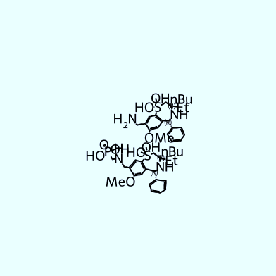 CCCC[C@]1(CC)CS(O)(O)c2cc(CN)c(OC)cc2[C@@H](c2ccccc2)N1.CCCC[C@]1(CC)CS(O)(O)c2cc(CNCP(=O)(O)O)c(OC)cc2[C@@H](c2ccccc2)N1